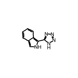 c1ccc2c(-c3nnn[nH]3)[nH]cc2c1